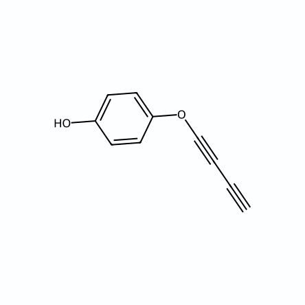 C#CC#COc1ccc(O)cc1